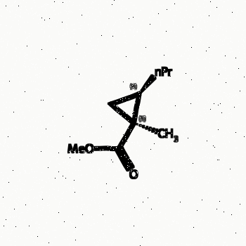 CCC[C@@H]1C[C@]1(C)C(=O)OC